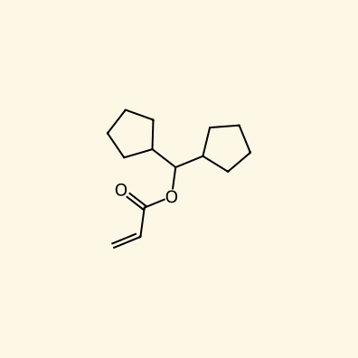 C=CC(=O)OC(C1CCCC1)C1CCCC1